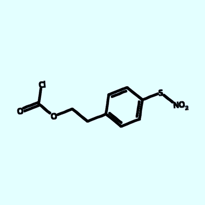 O=C(Cl)OCCc1ccc(S[N+](=O)[O-])cc1